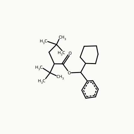 CC(C)(C)CC(C(=O)OC(c1ccccc1)C1CCCCC1)C(C)(C)C